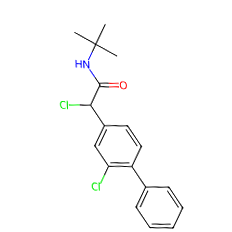 CC(C)(C)NC(=O)C(Cl)c1ccc(-c2ccccc2)c(Cl)c1